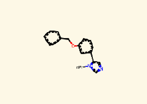 CCCn1cncc1-c1cccc(OCc2ccccc2)c1